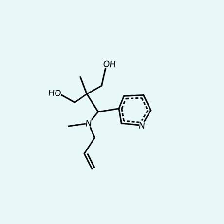 C=CCN(C)C(c1cccnc1)C(C)(CO)CO